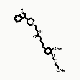 COCCOCOc1ccc(/C=C/C=C/C(=O)NCCN2CCC(c3c[nH]c4ccccc34)CC2)cc1OC